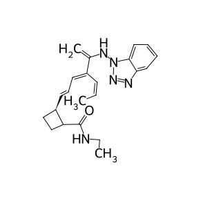 C=C(Nn1nnc2ccccc21)C(/C=C\C)=C/C=C/[C@@H]1CCC1C(=O)NCC